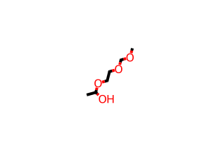 COCOCCOC(C)O